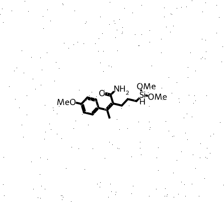 COc1ccc(C(C)=C(CCC[SiH](OC)OC)C(N)=O)cc1